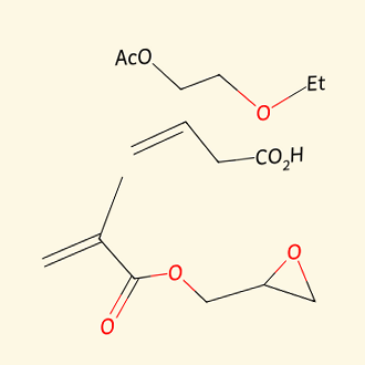 C=C(C)C(=O)OCC1CO1.C=CCC(=O)O.CCOCCOC(C)=O